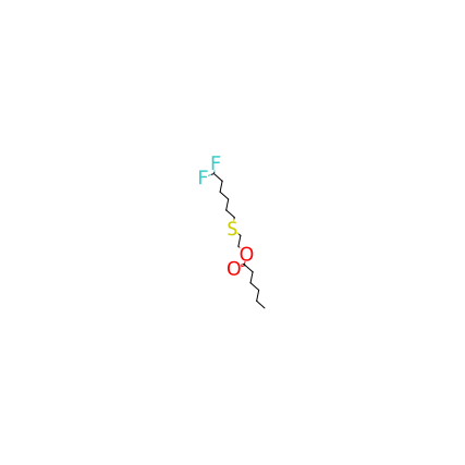 CCCCCC(=O)OCCSCCCCCC(F)F